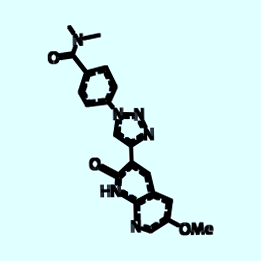 COc1cnc2[nH]c(=O)c(-c3cn(-c4ccc(C(=O)N(C)C)cc4)nn3)cc2c1